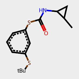 CC1CC1NC(=O)Sc1cccc(SC(C)(C)C)c1